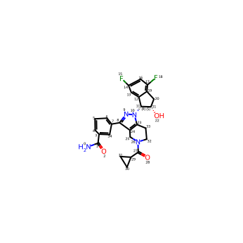 NC(=O)c1cccc(-c2nn([C@@H]3c4cc(F)cc(F)c4C[C@@H]3O)c3c2CN(C(=O)C2CC2)CC3)c1